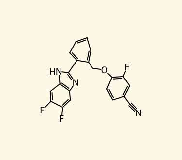 N#Cc1ccc(OCc2ccccc2-c2nc3cc(F)c(F)cc3[nH]2)c(F)c1